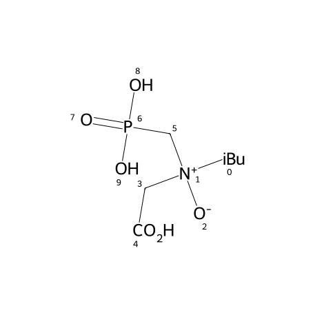 CCC(C)[N+]([O-])(CC(=O)O)CP(=O)(O)O